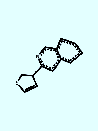 C1=CC(c2cc3ccccc3cn2)CS1